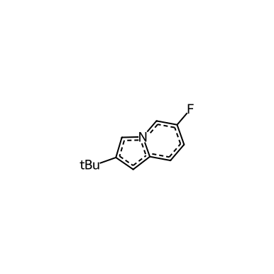 CC(C)(C)c1cc2ccc(F)cn2c1